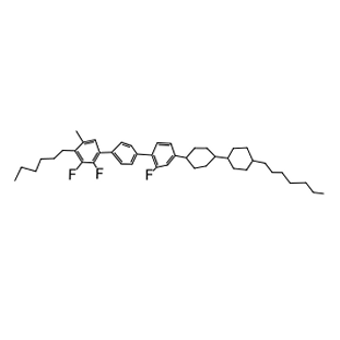 CCCCCCCC1CCC(C2CCC(c3ccc(-c4ccc(-c5cc(C)c(CCCCCC)c(F)c5F)cc4)c(F)c3)CC2)CC1